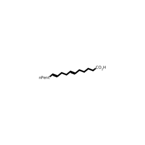 CCCCC/C=C/CC/C=C/CCCCC(=O)O